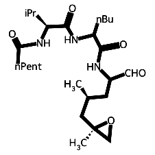 CCCCCC(=O)N[C@H](C(=O)NC(CCCC)C(=O)NC(C=O)C[C@H](C)C[C@]1(C)CO1)C(C)C